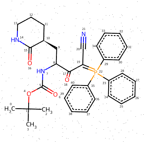 CC(C)(C)OC(=O)NC(C[C@@H]1CCCNC1=O)C(=O)C(C#N)=P(c1ccccc1)(c1ccccc1)c1ccccc1